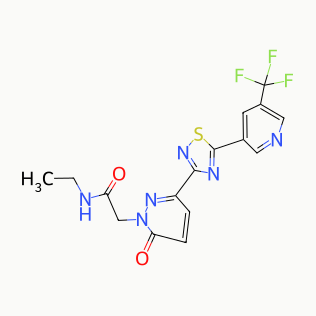 CCNC(=O)Cn1nc(-c2nsc(-c3cncc(C(F)(F)F)c3)n2)ccc1=O